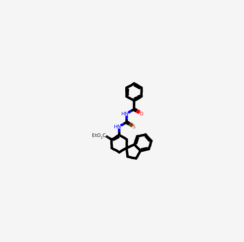 CCOC(=O)C1=C(NC(=S)NC(=O)c2ccccc2)CC2(CC1)CCc1ccccc12